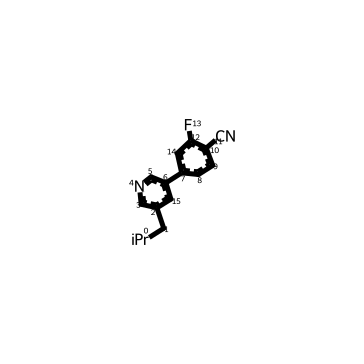 CC(C)Cc1cncc(-c2ccc(C#N)c(F)c2)c1